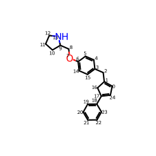 C1=C(Cc2ccc(OCC3CCCN3)cc2)CC(c2ccccc2)=C1